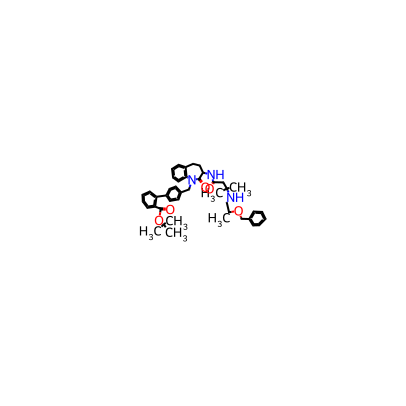 C[C@H](CNC(C)(C)CC(=O)NC1CCc2ccccc2N(Cc2ccc(-c3ccccc3C(=O)OC(C)(C)C)cc2)C1=O)OCc1ccccc1